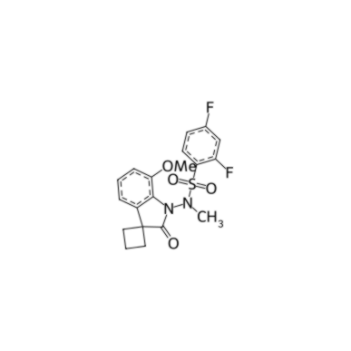 COc1cccc2c1N(N(C)S(=O)(=O)c1ccc(F)cc1F)C(=O)C21CCC1